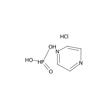 Cl.O=[PH](O)O.c1cnccn1